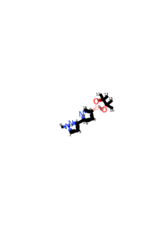 Cn1ccc(-c2ccc(B3OC(C)(C)C(C)(C)O3)cn2)n1